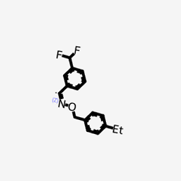 CCc1ccc(CO/N=[C]\c2cccc(C(F)F)c2)cc1